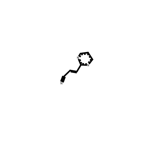 N#CC=Cc1ncccn1